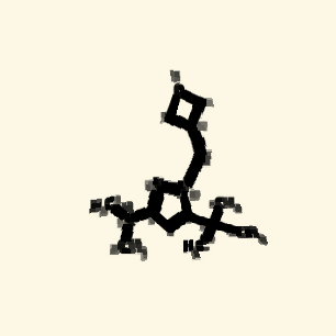 C[SH](C)c1cc(C(C)(C)C)n(CC2COC2)n1